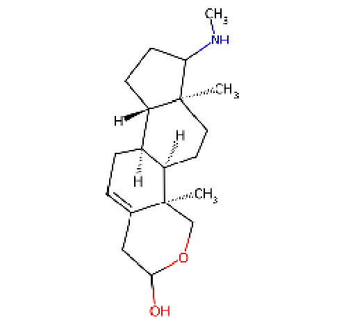 CNC1CC[C@H]2[C@@H]3CC=C4CC(O)OC[C@]4(C)[C@@H]3CC[C@]12C